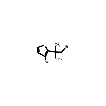 CCCCCCC(C)(CBr)c1sccc1C(C)=O